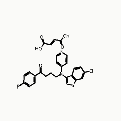 O=C(CCCN(c1ccncc1)c1csc2cc(Cl)ccc12)c1ccc(F)cc1.O=C(O)C=CC(=O)O